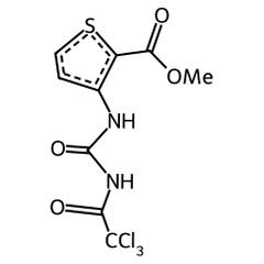 COC(=O)c1sccc1NC(=O)NC(=O)C(Cl)(Cl)Cl